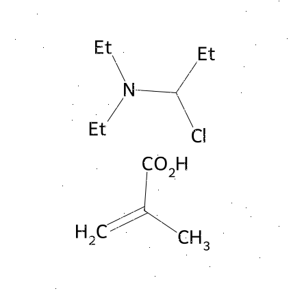 C=C(C)C(=O)O.CCC(Cl)N(CC)CC